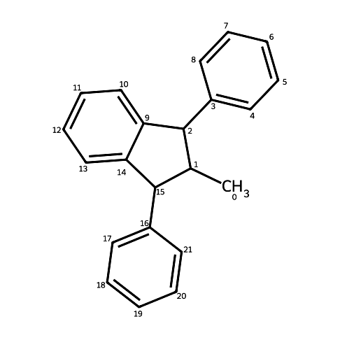 CC1C(c2ccccc2)c2ccccc2C1c1ccccc1